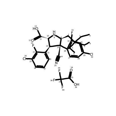 CCC(CC)(CC)C[C@@H]1N[C@@H](C(=O)O)[C@H](c2cccc(Cl)c2F)[C@@]1(C#N)c1ccc(Cl)cc1F.O=C(O)C(F)(F)F